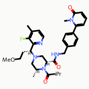 COCC[C@H](c1nccc(C)c1F)N1C[C@@H](C)N(C(=O)C(C)C)[C@@H](C(=O)NCc2ccc(-c3cccc(=O)n3C)cc2)C1